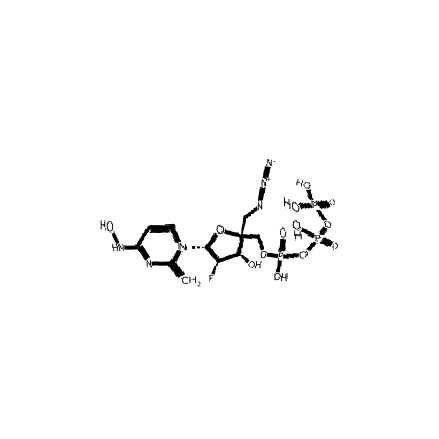 C=C1N=C(NO)C=CN1[C@@H]1O[C@](CN=[N+]=[N-])(COP(=O)(O)OP(=O)(O)OP(=O)(O)O)[C@@H](O)[C@H]1F